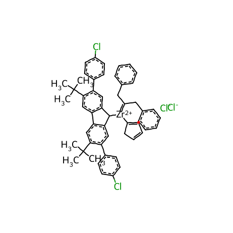 CC(C)(C)c1cc2c(cc1-c1ccc(Cl)cc1)[CH]([Zr+2]([C]1=CC=CC1)=[C](Cc1ccccc1)Cc1ccccc1)c1cc(-c3ccc(Cl)cc3)c(C(C)(C)C)cc1-2.[Cl-].[Cl-]